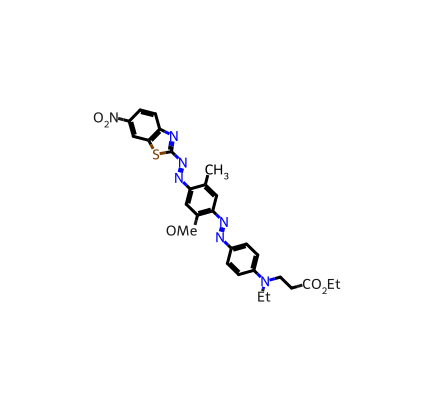 CCOC(=O)CCN(CC)c1ccc(N=Nc2cc(C)c(N=Nc3nc4ccc([N+](=O)[O-])cc4s3)cc2OC)cc1